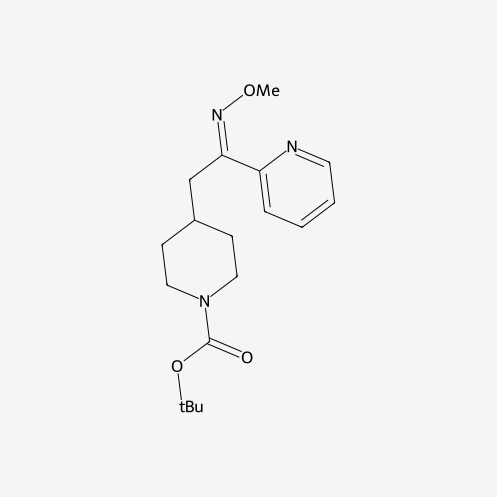 CO/N=C(/CC1CCN(C(=O)OC(C)(C)C)CC1)c1ccccn1